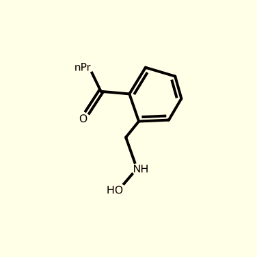 CCCC(=O)c1ccccc1CNO